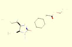 C=c1[nH]c(O[C@H]2CC[C@H](CC(=O)OCC)CC2)n/c1=C(\F)CC